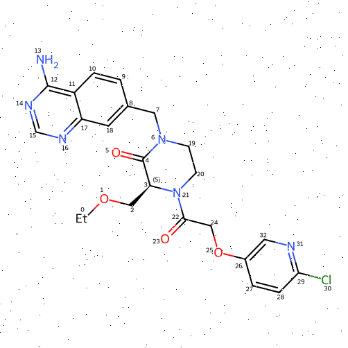 CCOC[C@H]1C(=O)N(Cc2ccc3c(N)ncnc3c2)CCN1C(=O)COc1ccc(Cl)nc1